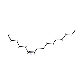 [CH2]CCCCCCCC/C=C\CCCCC